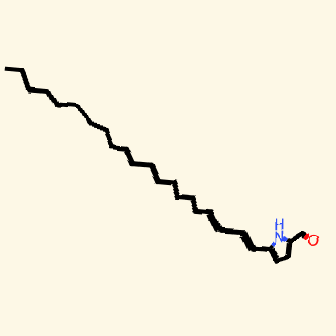 CCCCCCCCCCCCCCCCC/C=C/C=C/c1ccc(C=O)[nH]1